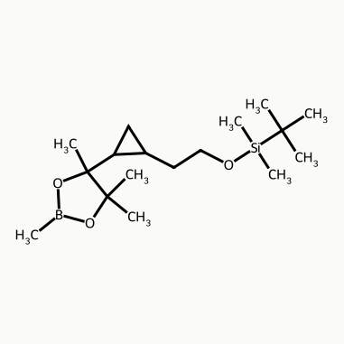 CB1OC(C)(C)C(C)(C2CC2CCO[Si](C)(C)C(C)(C)C)O1